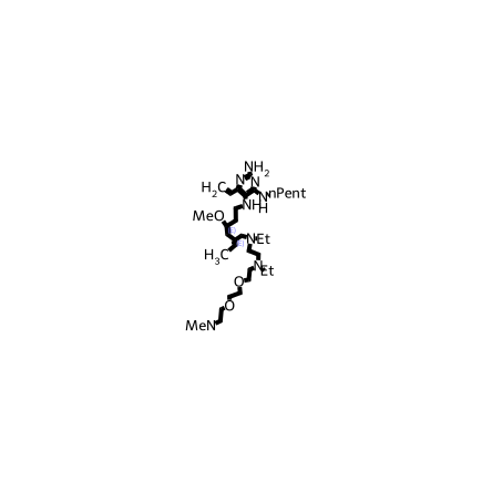 C=Cc1nc(N)nc(NCCCCC)c1NCC/C(=C\C(=C/C)CN(CC)CCN(CC)CCOCCOCCNC)OC